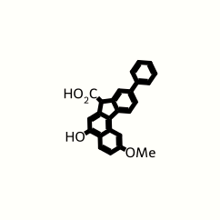 COc1ccc2c(O)cc3c(c2c1)-c1ccc(-c2ccccc2)cc1C3C(=O)O